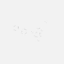 NCCc1nc2c(NCc3ccc(-c4ccccc4O)nc3)nc(N)nc2n1C1CCCC1